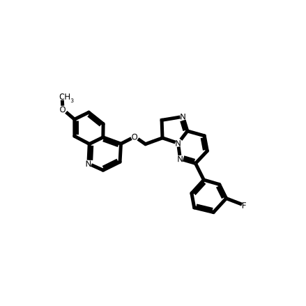 COc1ccc2c(OCC3CN=C4C=CC(c5cccc(F)c5)=NN43)ccnc2c1